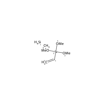 C=C[Si](OC)(OC)OC.[CH3].[SiH4]